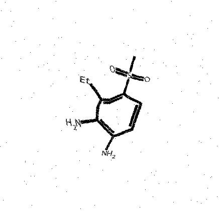 CCc1c(S(C)(=O)=O)ccc(N)c1N